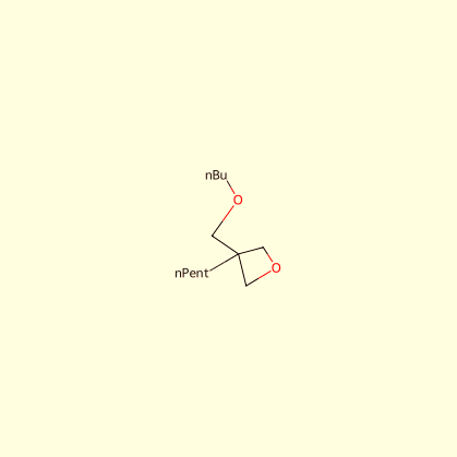 CCCCCC1(COCCCC)COC1